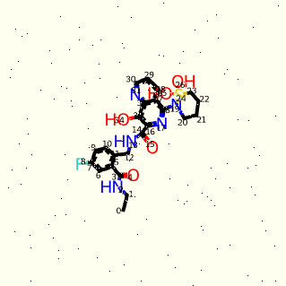 CCNC(=O)c1cc(F)ccc1CNC(=O)c1nc(N2CCCCS2(O)O)c2cccnc2c1O